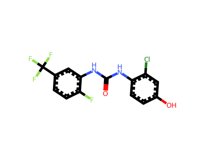 O=C(Nc1cc(C(F)(F)F)ccc1F)Nc1ccc(O)cc1Cl